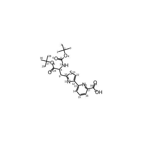 CC(C)(C)OC(=O)NC(Cc1nc(-c2cccc(C(=O)O)n2)cs1)C(=O)OC(C)(C)C